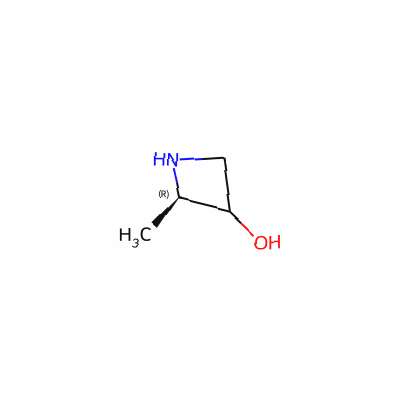 C[C@H]1NCC1O